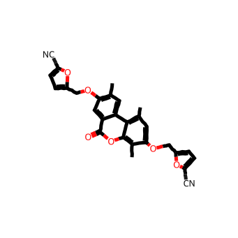 Cc1cc2c(cc1OCc1ccc(C#N)o1)c(=O)oc1c(C)c(OCc3ccc(C#N)o3)cc(C)c12